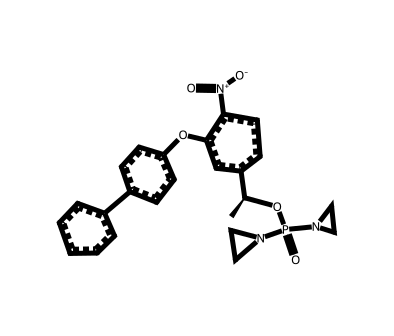 C[C@H](OP(=O)(N1CC1)N1CC1)c1ccc([N+](=O)[O-])c(Oc2ccc(-c3ccccc3)cc2)c1